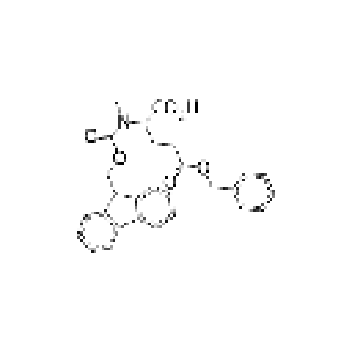 CN(C(=O)OCC1c2ccccc2-c2ccccc21)C(CCC(=O)OCc1ccccc1)C(=O)O